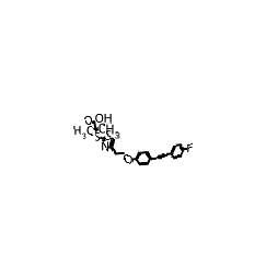 CC(C)(Sc1nc(CCOc2ccc(C#Cc3ccc(F)cc3)cc2)cs1)C(=O)O